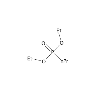 CC[CH]P(=O)(OCC)OCC